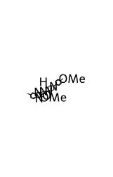 COc1ccc(N2CCN(C(=O)Nc3nc4cc(C)ccc4nc3OC)CC2)cc1